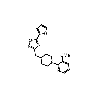 COc1cccnc1N1CCC(Cc2noc(-c3ccco3)n2)CC1